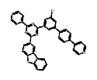 Brc1cc(-c2ccc(-c3ccncc3)cc2)cc(-c2nc(-c3ccccc3)nc(-c3ccc4sc5ccccc5c4c3)n2)c1